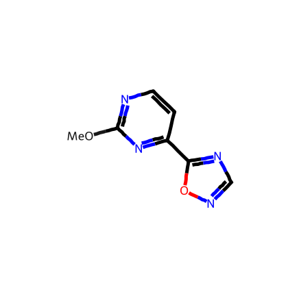 COc1nccc(-c2ncno2)n1